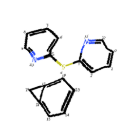 c1ccc(Sc2ccccn2)nc1.c1ccc2c(c1)C2